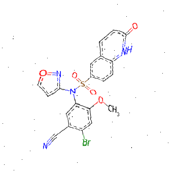 COc1cc(Br)c(C#N)cc1N(c1ccon1)S(=O)(=O)c1ccc2[nH]c(=O)ccc2c1